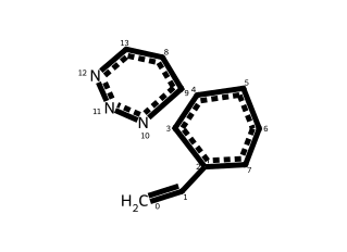 C=Cc1ccccc1.c1cnnnc1